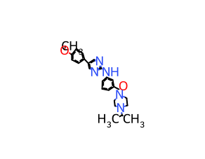 COc1ccc(-c2cnc(Nc3cccc(C(=O)N4CCN(C(C)C)CC4)c3)nc2)cc1